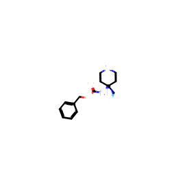 O=C(NC1(CF)CCNCC1)OCc1ccccc1